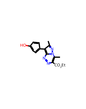 CCOC(=O)c1nnc2c(-c3ccc(O)cc3)c(C)nn2c1C